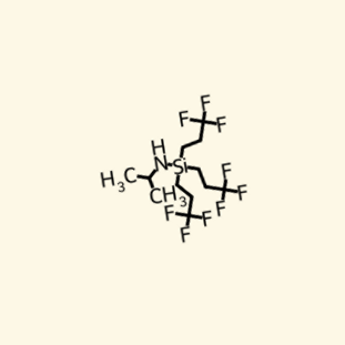 CC(C)N[Si](CCC(F)(F)F)(CCC(F)(F)F)CCC(F)(F)F